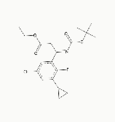 CCOC(=O)C/C(=N\C(=O)OC(C)(C)C)c1cc(Cl)cc(C2CC2)c1F